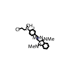 CNN1c2ccccc2C(NC)(NC)C1/C=C/c1ccc(N(C)CCCl)cc1